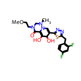 COCCN1CN(C)N2C=C(c3nnc(Cc4c#cc(F)cc4F)s3)C(O)C(O)=C2C1=O